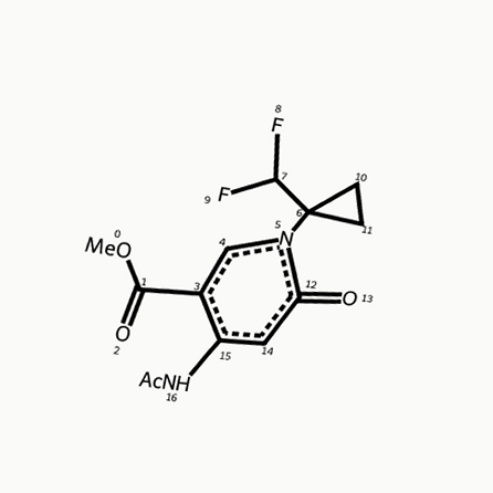 COC(=O)c1cn(C2(C(F)F)CC2)c(=O)cc1NC(C)=O